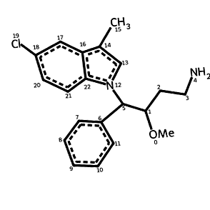 COC(CCN)C(c1ccccc1)n1cc(C)c2cc(Cl)ccc21